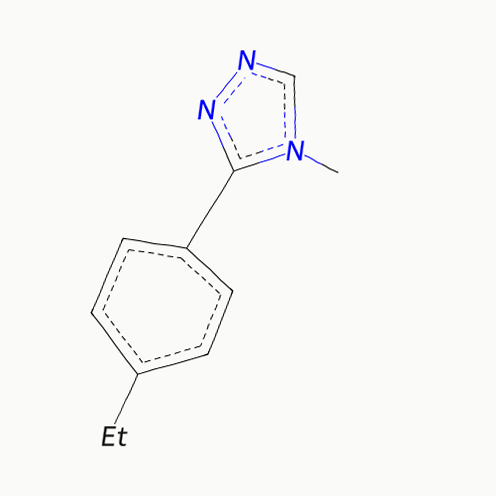 CCc1ccc(-c2nncn2C)cc1